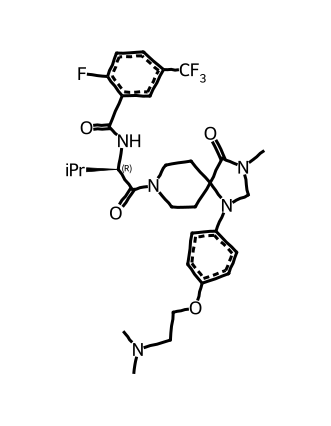 CC(C)[C@@H](NC(=O)c1cc(C(F)(F)F)ccc1F)C(=O)N1CCC2(CC1)C(=O)N(C)CN2c1ccc(OCCN(C)C)cc1